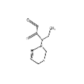 CCN(C(=O)N=O)N1CSCC=N1